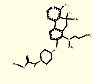 CN(CCN)c1c(O[C@H]2CC[C@H](NC(=O)OC(C)(C)C)CC2)ccc2c1CC(C)(C)c1c(N)ncnc1-2